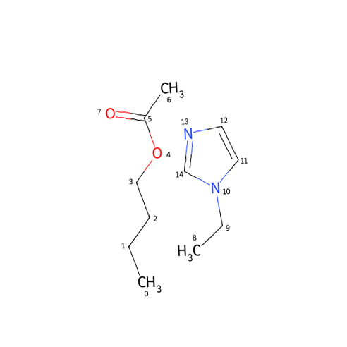 CCCCOC(C)=O.CCn1ccnc1